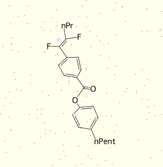 CCCCCc1ccc(OC(=O)c2ccc(/C(F)=C(\F)CCC)cc2)cc1